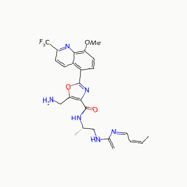 C=C(/N=C\C=C/C)NC[C@H](C)NC(=O)c1nc(-c2ccc(OC)c3nc(C(F)(F)F)ccc23)oc1CN